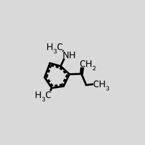 C=C(CC)c1cc(C)ccc1NC